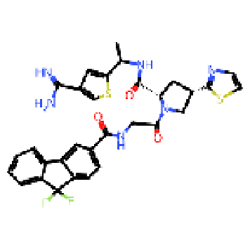 CC(NC(=O)[C@@H]1C[C@H](c2nccs2)CN1C(=O)CNC(=O)c1ccc2c(c1)-c1ccccc1C2(F)F)c1cc(C(=N)N)cs1